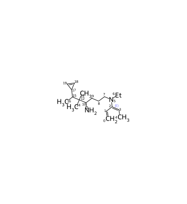 C=C/C(=C\C)N(CC)CCCC(N)C(C)(C)C(C)C1C=C1